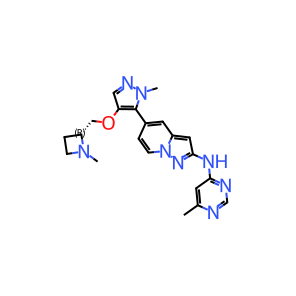 Cc1cc(Nc2cc3cc(-c4c(OC[C@H]5CCN5C)cnn4C)ccn3n2)ncn1